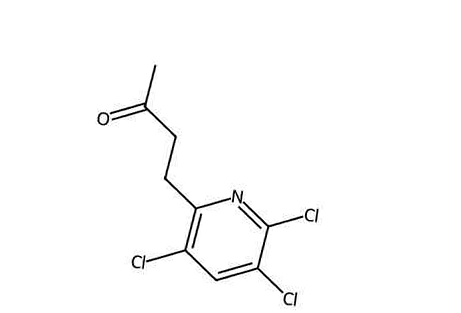 CC(=O)CCc1nc(Cl)c(Cl)cc1Cl